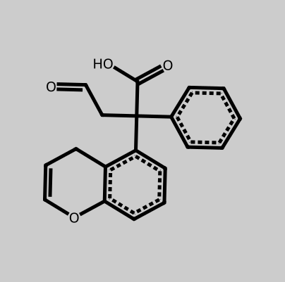 O=CCC(C(=O)O)(c1ccccc1)c1cccc2c1CC=CO2